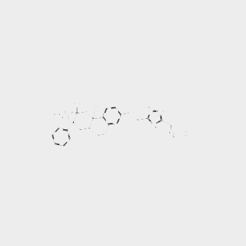 CCC12CC(C)(O)C(O)(c3ccccc3)CC1CCc1cc(OCc3noc(CNC(C)=O)n3)ccc12